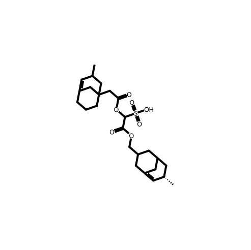 CC1C=C2CCCC(CC(=O)OC(C(=O)OCC3CC4=C[C@@H](C)CC(C4)C3)S(=O)(=O)O)(C2)C1